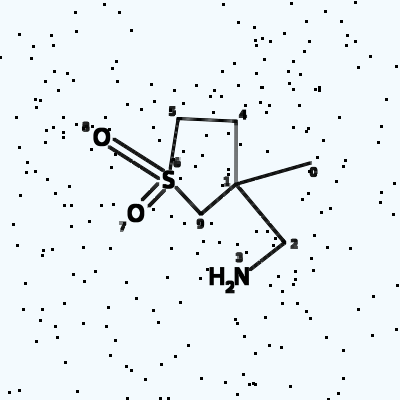 CC1(CN)CCS(=O)(=O)C1